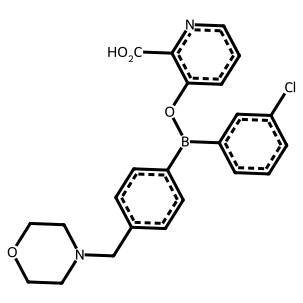 O=C(O)c1ncccc1OB(c1ccc(CN2CCOCC2)cc1)c1cccc(Cl)c1